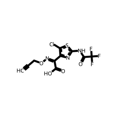 C#CCO/N=C(\C(=O)O)c1nc(NC(=O)C(F)(F)F)sc1Cl